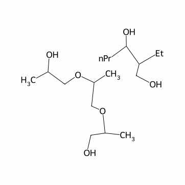 CC(O)COC(C)COC(C)CO.CCCC(O)C(CC)CO